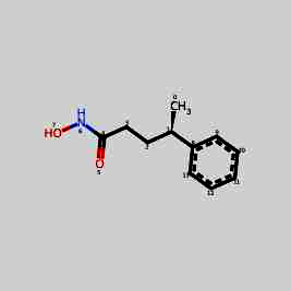 C[C@H](CCC(=O)NO)c1ccccc1